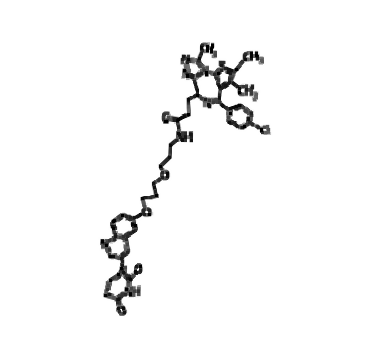 Cc1sc2c(c1C)C(c1ccc(Cl)cc1)=NC(CCC(=O)NCCCOCCCOc1ccc3ncc(-n4ccc(=O)[nH]c4=O)cc3c1)c1nnc(C)n1-2